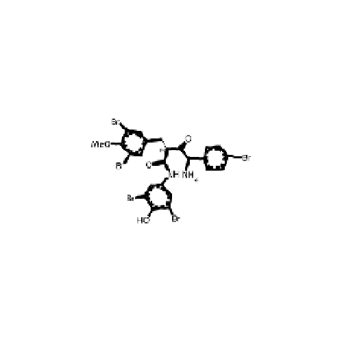 COc1c(Br)cc(C[C@@H](C(=O)Nc2cc(Br)c(O)c(Br)c2)C(=O)C(N)c2ccc(Br)cc2)cc1Br